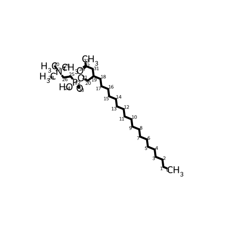 CCCCCCCCCCCCCCCCCCCC(COP(=O)(O)CC[N+](C)(C)C)CC(C)=O